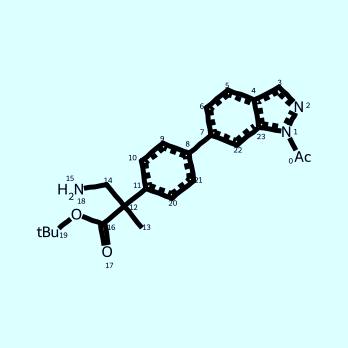 CC(=O)n1ncc2ccc(-c3ccc(C(C)(CN)C(=O)OC(C)(C)C)cc3)cc21